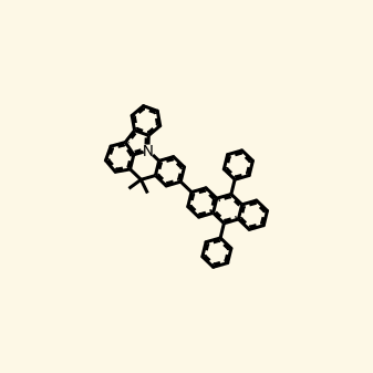 CC1(C)c2cc(-c3ccc4c(-c5ccccc5)c5ccccc5c(-c5ccccc5)c4c3)ccc2-n2c3ccccc3c3cccc1c32